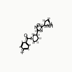 O=C(c1ccc(F)cc1)N1CCCC(c2noc(C3CC=NN3)n2)C1